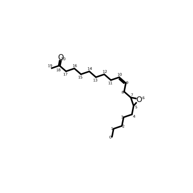 CCCCCC1OC1C/C=C\CCCCCCCC(C)=O